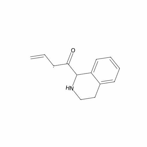 C=C[CH]C(=O)C1NCCc2ccccc21